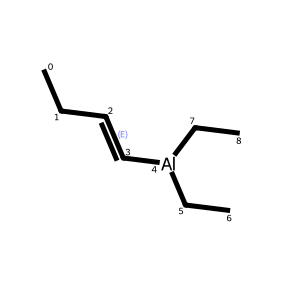 CC/C=[CH]/[Al]([CH2]C)[CH2]C